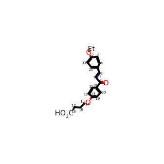 CCOc1ccc(/C=C/C(=O)c2ccc(OCCCC(=O)O)cc2)cc1